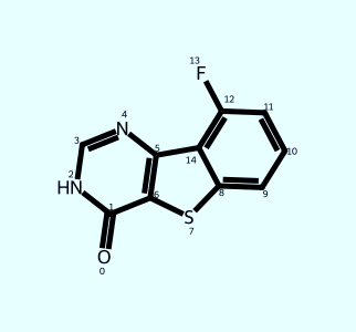 O=c1[nH]cnc2c1sc1cccc(F)c12